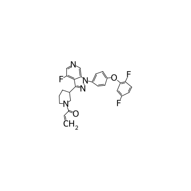 C=CC(=O)N1CCCC(c2nn(-c3ccc(Oc4cc(F)ccc4F)cc3)c3cncc(F)c23)C1